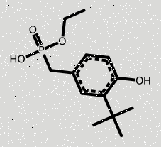 CCOP(=O)(O)Cc1ccc(O)c(C(C)(C)C)c1